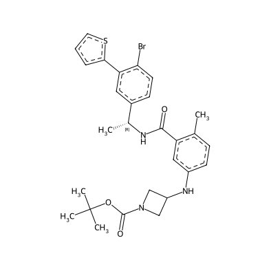 Cc1ccc(NC2CN(C(=O)OC(C)(C)C)C2)cc1C(=O)N[C@H](C)c1ccc(Br)c(-c2cccs2)c1